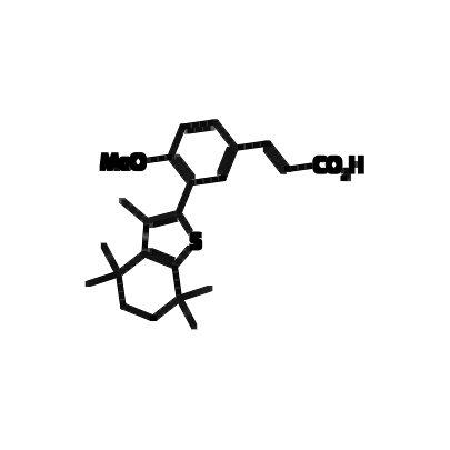 COc1ccc(C=CC(=O)O)cc1-c1sc2c(c1C)C(C)(C)CCC2(C)C